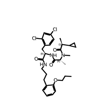 CCCOc1ccccc1CCCNC(=O)[C@@H](Cc1ccc(Cl)cc1Cl)NC(=O)[C@@H](C)N(C)C(=O)[C@@H](C)C1CC1